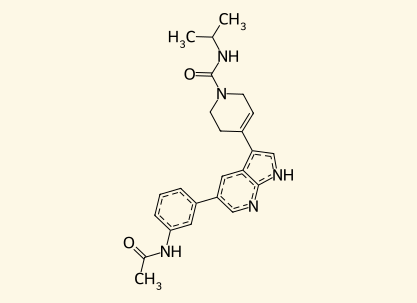 CC(=O)Nc1cccc(-c2cnc3[nH]cc(C4=CCN(C(=O)NC(C)C)CC4)c3c2)c1